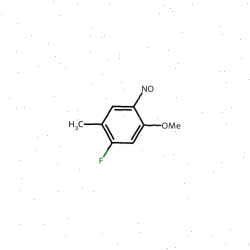 COc1cc(F)c(C)cc1N=O